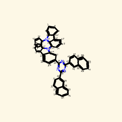 c1ccc(-n2c3ccccc3c3cccc(-n4c5ccccc5c5ccc(-c6nc(-c7ccc8ccccc8c7)nc(-c7ccc8ccccc8c7)n6)cc54)c32)cc1